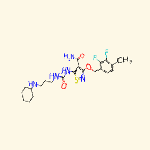 Cc1ccc(COc2nsc(NC(=O)NCCCNC3CCCCC3)c2C(N)=O)c(F)c1F